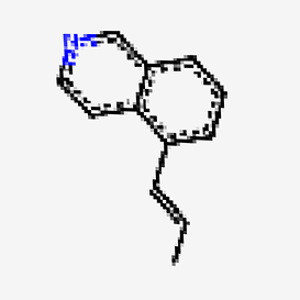 CC=Cc1cccc2cnccc12